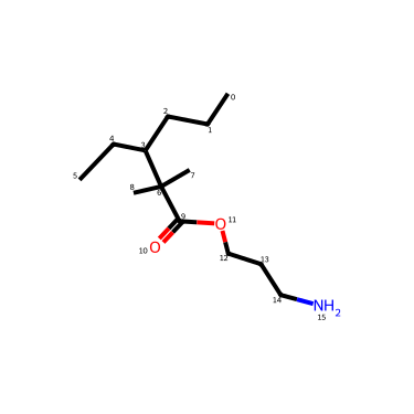 CCCC(CC)C(C)(C)C(=O)OCCCN